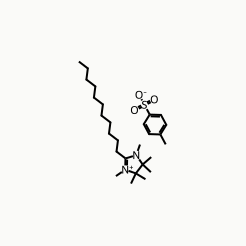 CCCCCCCCCCCC1=[N+](C)C(C)(C)C(C)(C)N1C.Cc1ccc(S(=O)(=O)[O-])cc1